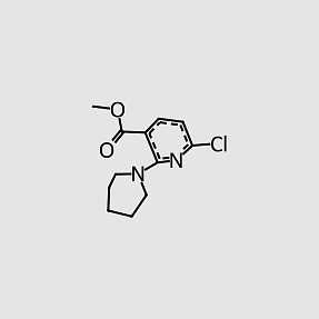 COC(=O)c1ccc(Cl)nc1N1CCCCC1